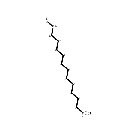 CCCCCCCCCCCCCCCCCCCSS